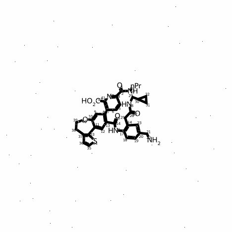 CCCNC(=O)c1ccc(-c2cc3c(cc2C(=O)Nc2ccc(CN)cc2CC(=O)NCC2CC2)-c2sccc2CCO3)c(C(=O)O)n1